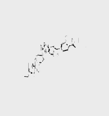 C=C(N)c1ccc(-c2cc3nnn(C4CCN(c5ncc(CC)cn5)CC4)c3cn2)cc1F